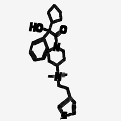 C[N+](C)(CCc1ccsc1)C1CCN(C(=O)C(O)(c2ccccc2)C2CCCC2)CC1